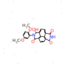 COc1ccc(OC)c(N2C(=O)c3ccc4c5c(ccc(c35)C2O)C(=O)NC4=O)c1